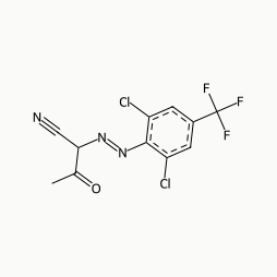 CC(=O)C(C#N)/N=N/c1c(Cl)cc(C(F)(F)F)cc1Cl